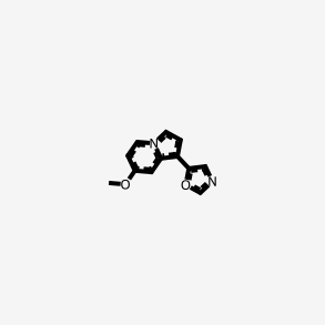 COc1ccn2ccc(-c3cnco3)c2c1